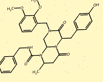 COc1cccc(CN2CC3N(C(=O)NCc4ccccc4)C(C)CC(=O)N3C(Cc3ccc(O)cc3)C2=O)c1OC